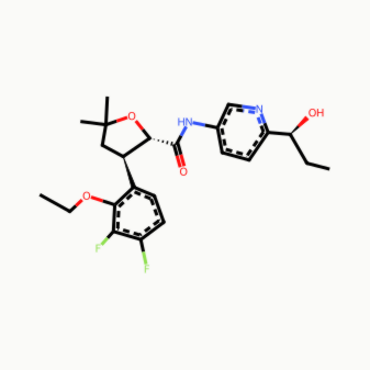 CCOc1c([C@H]2CC(C)(C)O[C@@H]2C(=O)Nc2ccc([C@@H](O)CC)nc2)ccc(F)c1F